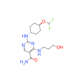 NC(=O)c1cnc(N[C@H]2CC[C@H](OC(F)F)CC2)nc1NCCCO